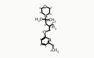 CCc1cccc(OCC(C)CC(C)(C)N2CCOCC2)n1